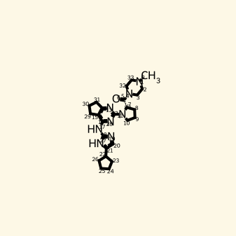 CN1CCN(C(=O)[C@@H]2CCCN2c2nc3c(c(Nc4ncc(C5CCCC5)[nH]4)n2)CCC3)CC1